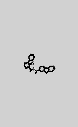 C/C(=N\C(C)c1cccc2c3c(sc12)C=C=C=C3)c1ccc2c(c1)Cc1ccccc1-2